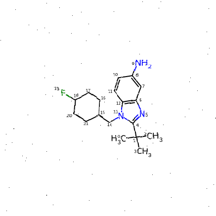 CC(C)(C)c1nc2cc(N)ccc2n1CC1CCC(F)CC1